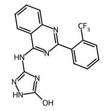 Oc1nc(Nc2nc(-c3ccccc3C(F)(F)F)nc3ccccc23)n[nH]1